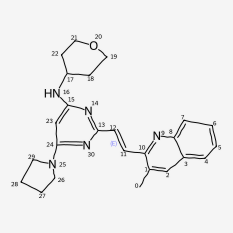 Cc1cc2ccccc2nc1/C=C/c1nc(NC2CCOCC2)cc(N2CCCC2)n1